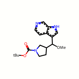 COC(c1c[nH]c2cnccc12)C1CCN(C(=O)OC(C)(C)C)C1